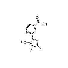 Cc1cn(-c2cc(C(=O)O)ccn2)c(O)c1C